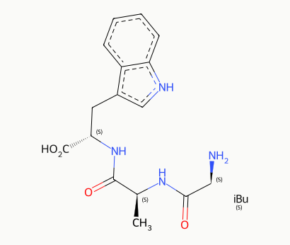 CC[C@H](C)[C@H](N)C(=O)N[C@@H](C)C(=O)N[C@@H](Cc1c[nH]c2ccccc12)C(=O)O